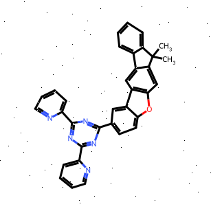 CC1(C)c2ccccc2-c2cc3c(cc21)oc1ccc(-c2nc(-c4ccccn4)nc(-c4ccccn4)n2)cc13